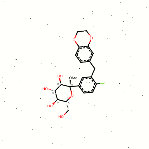 CO[C@@]1(c2ccc(F)c(Cc3ccc4c(c3)OCCO4)c2)O[C@H](CO)[C@@H](O)[C@H](O)[C@H]1O